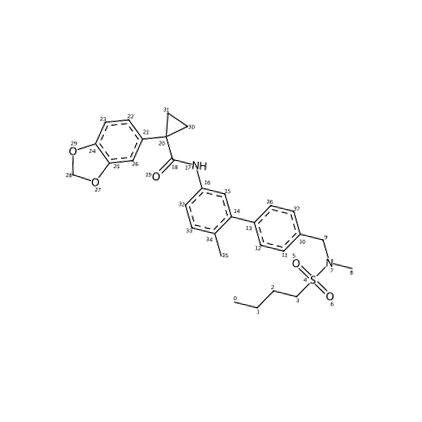 CCCCS(=O)(=O)N(C)Cc1ccc(-c2cc(NC(=O)C3(c4ccc5c(c4)OCO5)CC3)ccc2C)cc1